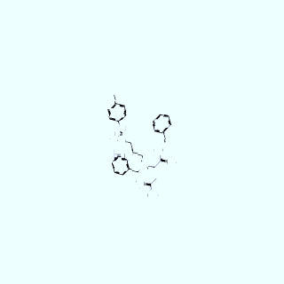 COC(=O)C[C@@H](C(=O)OCc1ccccc1)N(Cc1ccccc1)C[C@H](O)COS(=O)(=O)c1ccc(C)cc1